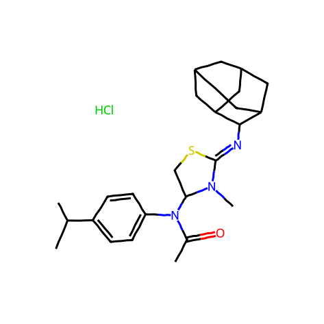 CC(=O)N(c1ccc(C(C)C)cc1)C1CSC(=NC2C3CC4CC(C3)CC2C4)N1C.Cl